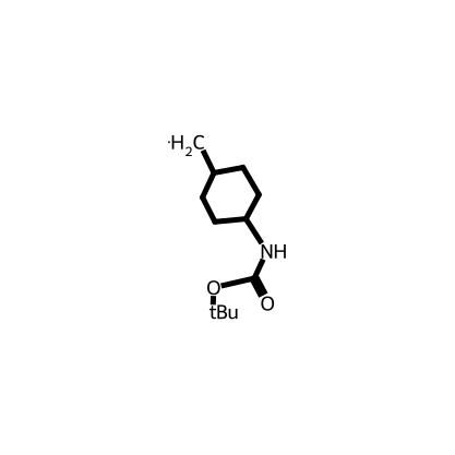 [CH2]C1CCC(NC(=O)OC(C)(C)C)CC1